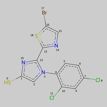 Sc1cn(-c2ccc(Cl)cc2Cl)c(-c2ncc(Br)s2)n1